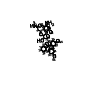 CNC(=O)CCO[C@@H]1[C@@H](O)[C@@H](COC(c2ccccc2)(c2ccc(OC)cc2)c2ccc(OC)cc2)O[C@H]1n1cc(C)c(N)nc1=O